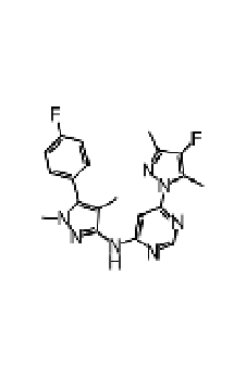 Cc1nn(-c2cc(Nc3nn(C)c(-c4ccc(F)cc4)c3C)ncn2)c(C)c1F